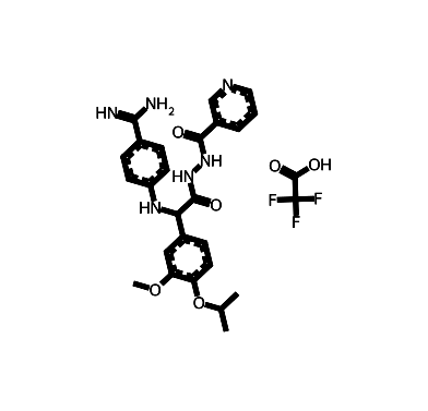 COc1cc(C(Nc2ccc(C(=N)N)cc2)C(=O)NNC(=O)c2cccnc2)ccc1OC(C)C.O=C(O)C(F)(F)F